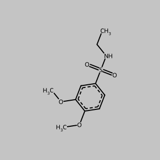 CCNS(=O)(=O)c1ccc(OC)c(OC)c1